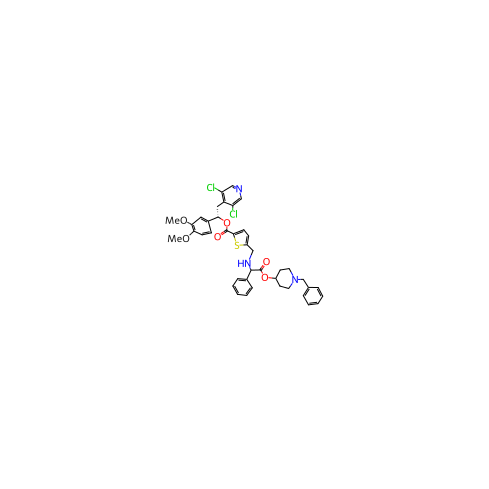 COc1ccc([C@H](Cc2c(Cl)cncc2Cl)OC(=O)c2ccc(CNC(C(=O)OC3CCN(Cc4ccccc4)CC3)c3ccccc3)s2)cc1OC